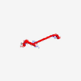 CCc1c2c(nc3ccc(O)cc13)-c1cc3c(c(=O)n1C2)COC(=O)[C@@]3(CC)OC(=O)OCc1ccc(NC(=O)C(CCCCN)NC(=O)COCC(=O)NCCOCCOCCOCCOCCOCCOCCOCCOCCn2cc(CNC(=O)C3CCC(CN4C(=O)C=CC4=O)CC3)nn2)cc1